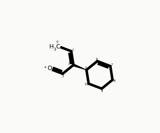 CC=C(C=O)[C@H]1C=CCCC1